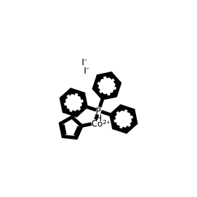 C1=CC[C]([Co+2][PH](c2ccccc2)(c2ccccc2)c2ccccc2)=C1.[I-].[I-]